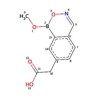 COB1ON=Cc2ccc(CC(=O)O)cc21